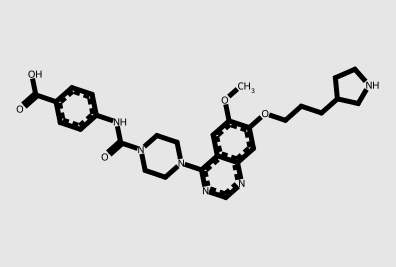 COc1cc2c(N3CCN(C(=O)Nc4ccc(C(=O)O)cc4)CC3)ncnc2cc1OCCCC1CCNC1